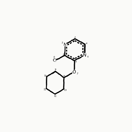 Clc1nccnc1OC1CCCCC1